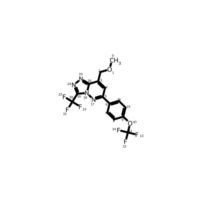 COCc1cc(-c2ccc(OC(F)(F)F)cc2)nn2c(C(F)(F)F)nnc12